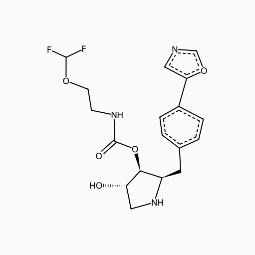 O=C(NCCOC(F)F)O[C@@H]1[C@@H](O)CN[C@@H]1Cc1ccc(-c2cnco2)cc1